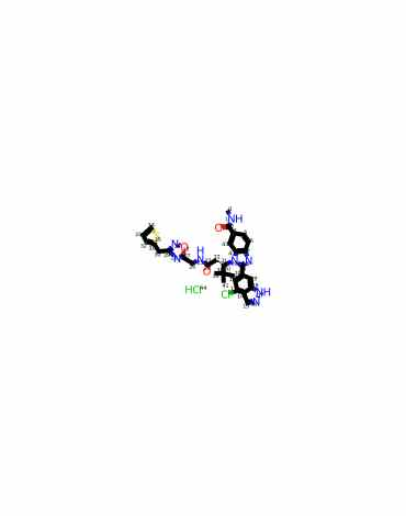 CNC(=O)c1ccc2nc(-c3cc(Cl)c4cn[nH]c4c3)n([C@@H](CC(=O)NCc3nc(Cc4cccs4)no3)C(C)(C)C)c2c1.Cl